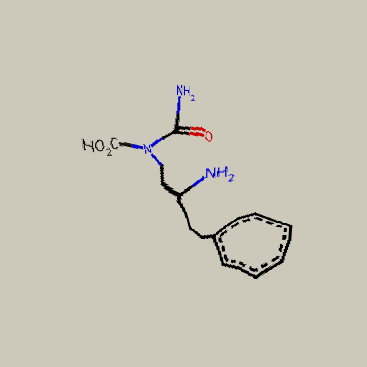 NC(=O)N(CC(N)Cc1ccccc1)C(=O)O